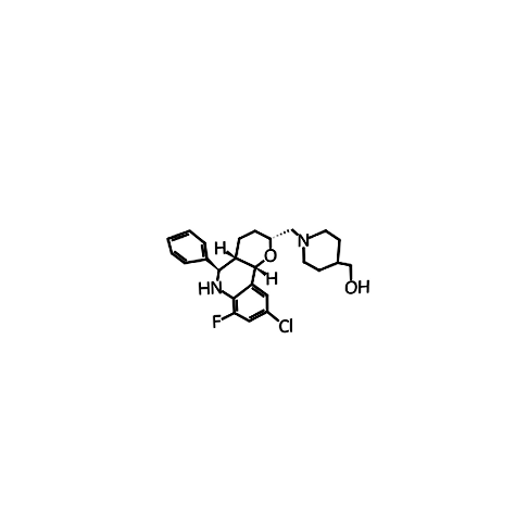 OCC1CCN(C[C@H]2CC[C@@H]3[C@H](O2)c2cc(Cl)cc(F)c2N[C@H]3c2ccccc2)CC1